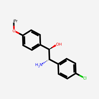 CC(C)Oc1ccc([C@@H](O)[C@@H](N)c2ccc(Cl)cc2)cc1